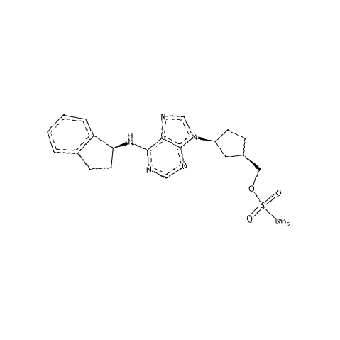 NS(=O)(=O)OC[C@@H]1CC[C@H](n2cnc3c(N[C@H]4CCc5ccccc54)ncnc32)C1